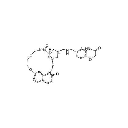 O=C1COc2ccc(CNC[C@@H]3C[C@H]4C(=O)NCCCCOc5ccc6ccc(=O)n(c6c5)CCN4C3)nc2N1